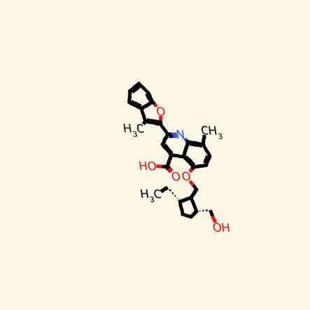 CC[C@H]1CC[C@@H](CO)C1COc1ccc(C)c2nc(-c3oc4ccccc4c3C)cc(C(=O)O)c12